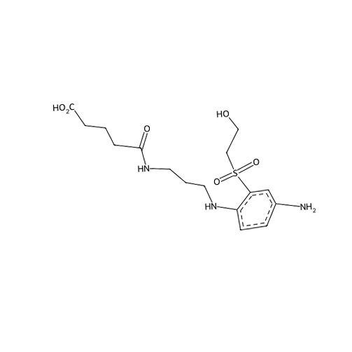 Nc1ccc(NCCCNC(=O)CCCC(=O)O)c(S(=O)(=O)CCO)c1